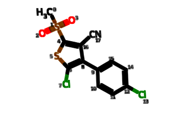 CS(=O)(=O)c1sc(Cl)c(-c2ccc(Cl)cc2)c1C#N